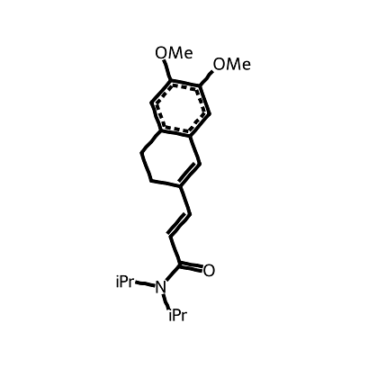 COc1cc2c(cc1OC)CCC(C=CC(=O)N(C(C)C)C(C)C)=C2